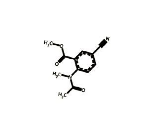 COC(=O)c1cc(C#N)ccc1N(C)C(C)=O